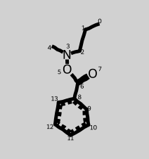 CCCN(C)OC(=O)c1ccccc1